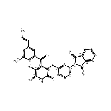 Cc1cc(/C=C/C#N)cc(C(=O)c2c(C(C)C)c(=O)[nH]c(=O)n2Cc2ccnc(N3C(=O)c4ccccc4C3=O)c2)c1